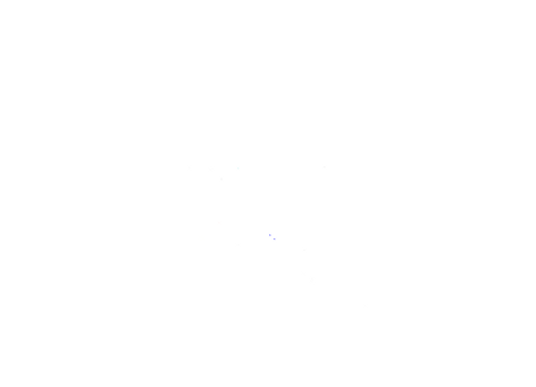 O=S(=O)(C=C1CN(C(c2ccc(C(F)(F)F)cc2)c2ccc(C(F)(F)F)cc2)C1)Cc1cc(F)cc(F)c1